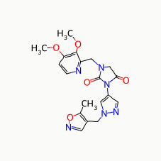 COc1ccnc(CN2CC(=O)N(c3cnn(Cc4cnoc4C)c3)C2=O)c1OC